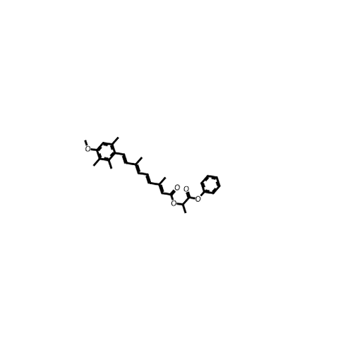 COc1cc(C)c(/C=C/C(C)=C/C=C/C(C)=C/C(=O)OC(C)C(=O)Oc2ccccc2)c(C)c1C